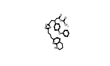 O=C(CC(Cc1nc(CCCc2ccc3c(n2)NCCC3)no1)c1ccc(Oc2ccccc2)cc1)OC(=O)C(F)(F)F